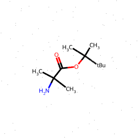 CC(C)(N)C(=O)OC(C)(C)C(C)(C)C